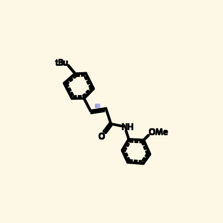 COc1ccccc1NC(=O)/C=C/c1ccc(C(C)(C)C)cc1